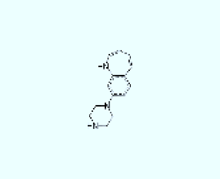 C1=CNc2cc(N3CCNCC3)ccc2C=C1